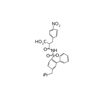 CC(C)Cc1ccc(S(=O)(=O)NC(=O)C(Cc2ccc([N+](=O)[O-])cc2)C(=O)O)c(-c2ccccc2)c1